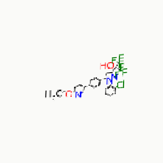 CCOc1ccc(-c2ccc(C3CC(C(O)(C(F)(F)F)C(F)(F)F)=NN3c3ccccc3Cl)cc2)cn1